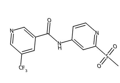 CS(=O)(=O)c1cc(NC(=O)c2cncc(C(F)(F)F)c2)ccn1